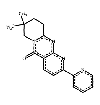 CC1(C)CCc2nc3nc(-c4ccccn4)ccc3c(=O)n2C1